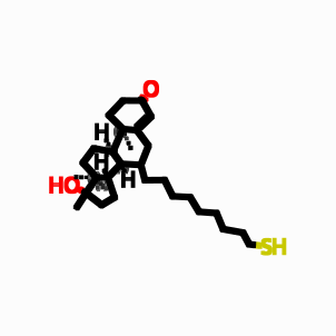 CC1(O)CC[C@H]2[C@@H]3C(CCCCCCCCCS)CC4=CC(=O)CC[C@]4(C)[C@@H]3CC[C@@]21C